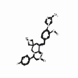 CCOc1cc(/C=C2\CC3(CN4C2=NN(CC)CC4c2ccc(F)cc2)C[S+]([O-])C3)ccc1-n1cnc(C)c1